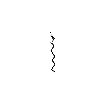 CCCCCCCOC=S